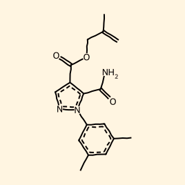 C=C(C)COC(=O)c1cnn(-c2cc(C)cc(C)c2)c1C(N)=O